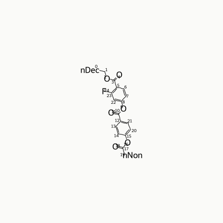 CCCCCCCCCCCOC(=O)c1ccc(OC(=O)c2ccc(OC(=O)CCCCCCCCC)cc2)cc1F